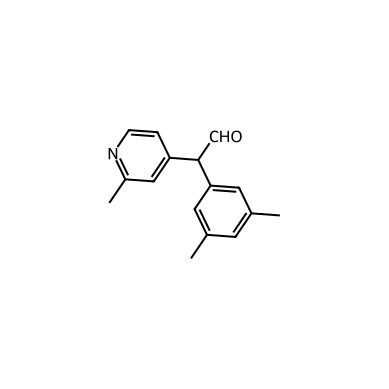 Cc1cc(C)cc(C(C=O)c2ccnc(C)c2)c1